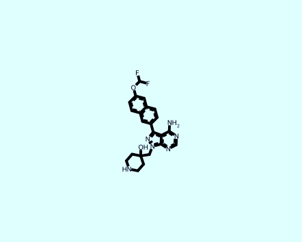 Nc1ncnc2c1c(-c1ccc3cc(OC(F)F)ccc3c1)nn2CC1(O)CCNCC1